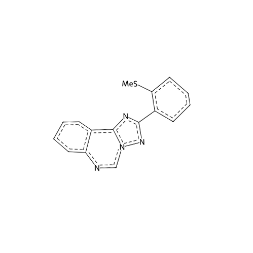 CSc1ccccc1-c1nc2c3ccccc3ncn2n1